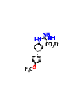 CCOC(=O)c1[nH]nnc1N[C@H]1CC[C@@H](c2ccc(OC(F)(F)F)cc2)CC1